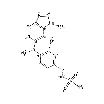 CCc1cc(CNS(N)(=O)=O)ccc1N(C)c1cc2c(cn1)ncn2C